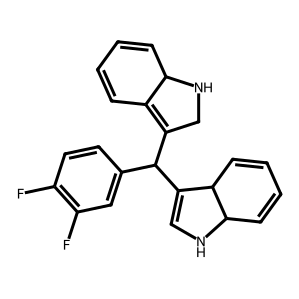 Fc1ccc(C(C2=CNC3C=CC=CC23)C2=C3C=CC=CC3NC2)cc1F